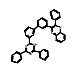 C1=CC2=NC(c3cccc(-c4cccc(C5N=C(c6ccccc6)N=C(c6ccccc6)N5)c4)c3)=C(c3ccccc3)NC2C=C1